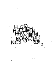 C=C(CCCN(CCN(C)C(=C)CC(C)(C)C1=C(C)C(=O)C(C)=C(C)C1=C)C(=O)Oc1ccc2nc(C#N)sc2c1)OC1C(=C)CCC1=O